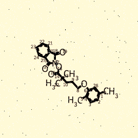 Cc1ccc(C)c(OCCCC(C)(C)C(=O)ON2C(=O)c3ccccc3C2=O)c1